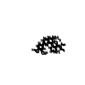 CCN(CC)C(=O)C1CNCCN1c1nc(N)nc2ncc(-c3ccc(OC)c(OC)c3)nc12